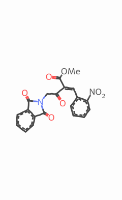 COC(=O)/C(=C/c1ccccc1[N+](=O)[O-])C(=O)CN1C(=O)c2ccccc2C1=O